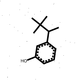 CC(c1cccc(O)c1)C(C)(C)C